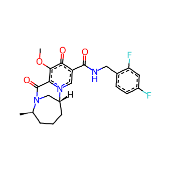 COc1c2n(cc(C(=O)NCc3ccc(F)cc3F)c1=O)[C@@H]1CCC[C@@H](C)N(C1)C2=O